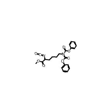 COC(=O)C(CCCCN(C(=O)Oc1ccccc1)C(=O)Oc1ccccc1)N=C=O